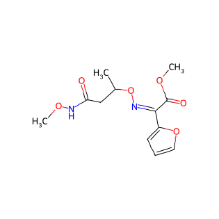 CONC(=O)CC(C)ON=C(C(=O)OC)c1ccco1